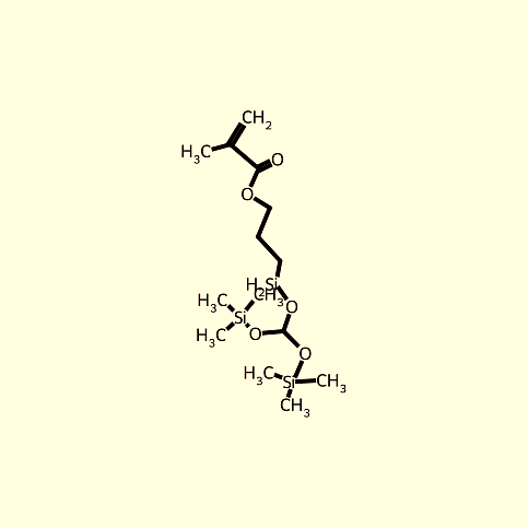 C=C(C)C(=O)OCCC[SiH2]OC(O[Si](C)(C)C)O[Si](C)(C)C